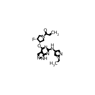 C=CC(=O)N1C[C@@H](F)[C@@H](Oc2nc(Nc3cnn(CC)c3)nc3[nH]ncc23)C1